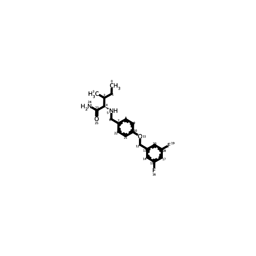 CCC(C)[C@H](NCc1ccc(OCc2cc(F)cc(F)c2)cc1)C(N)=O